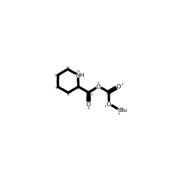 CC(C)(C)OC(=O)OC(=O)C1CCCCN1